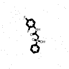 O=C(CP(=O)(O)c1ccccc1)Nc1ccc(F)cc1F